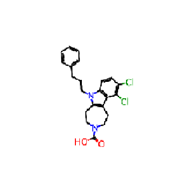 O=C(O)N1CCc2c(n(CCCc3ccccc3)c3ccc(Cl)c(Cl)c23)CC1